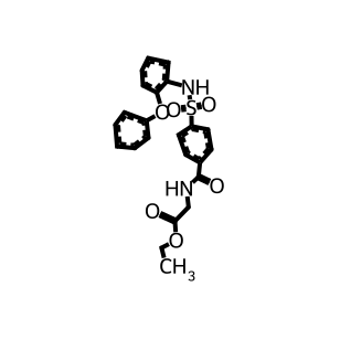 CCOC(=O)CNC(=O)c1ccc(S(=O)(=O)Nc2ccccc2Oc2ccccc2)cc1